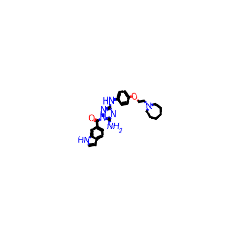 Nc1nc(Nc2ccc(OCCN3CCCCCC3)cc2)nn1C(=O)c1ccc2cc[nH]c2c1